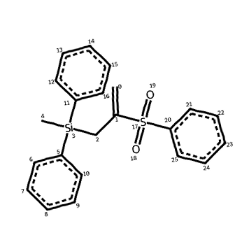 C=C(C[Si](C)(c1ccccc1)c1ccccc1)S(=O)(=O)c1ccccc1